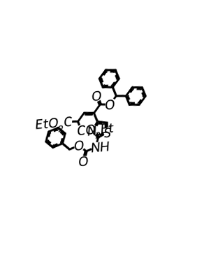 CCOC(=O)C(C=C(C(=O)OC(c1ccccc1)c1ccccc1)c1csc(NC(=O)OCc2ccccc2)n1)C(=O)OCC